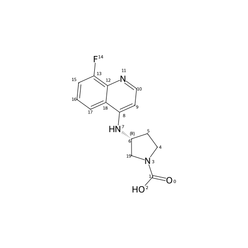 O=C(O)N1CC[C@@H](Nc2ccnc3c(F)cccc23)C1